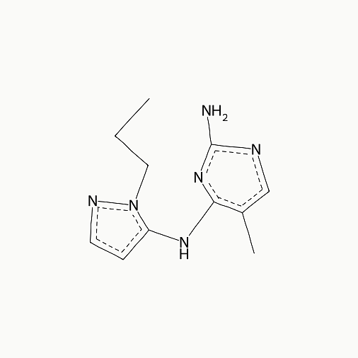 CCCn1nccc1Nc1nc(N)ncc1C